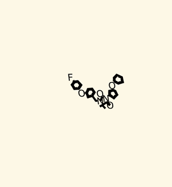 CC1(C)C(=O)N(c2cccc(Oc3ccccc3)c2)C(=O)N1Cc1cccc(Oc2ccc(F)cc2)c1